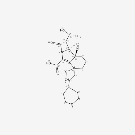 CO[C@]1(CCN2CCOCC2)CCC[C@@H]2C1=C(C(=O)O)N1C(=O)[C@H]([C@@H](C)O)[C@@H]21